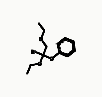 CCOCC(Br)(OCC)Oc1[c]cccc1